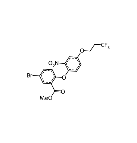 COC(=O)c1cc(Br)ccc1Oc1ccc(OCCC(F)(F)F)cc1[N+](=O)[O-]